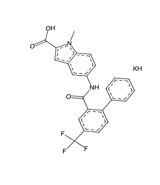 Cn1c(C(=O)O)cc2cc(NC(=O)c3cc(C(F)(F)F)ccc3-c3ccccc3)ccc21.[KH]